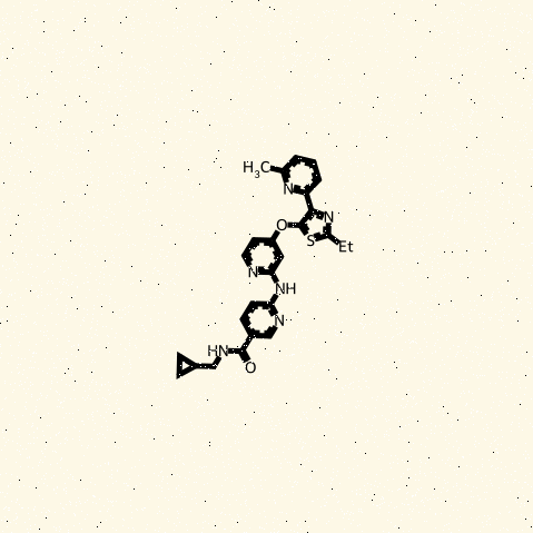 CCc1nc(-c2cccc(C)n2)c(Oc2ccnc(Nc3ccc(C(=O)NCC4CC4)cn3)c2)s1